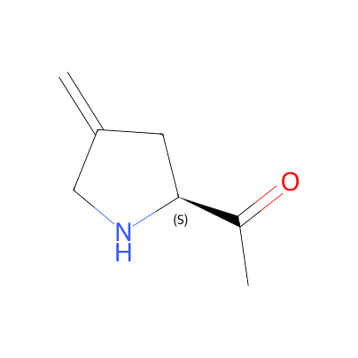 C=C1CN[C@H](C(C)=O)C1